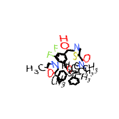 C[C@@H]1CN(c2c(CO[Si](c3ccccc3)(c3ccccc3)C(C)(C)C)cc(C(O)c3ncc(C(=O)N(C)C)s3)c(F)c2F)C[C@H](C)O1